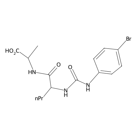 CCCC(NC(=O)Nc1ccc(Br)cc1)C(=O)NC(C)C(=O)O